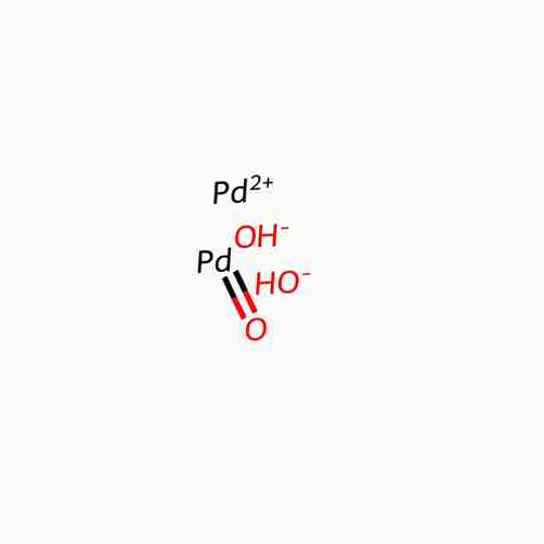 [OH-].[OH-].[O]=[Pd].[Pd+2]